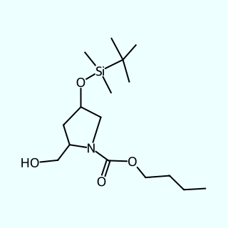 CCCCOC(=O)N1CC(O[Si](C)(C)C(C)(C)C)CC1CO